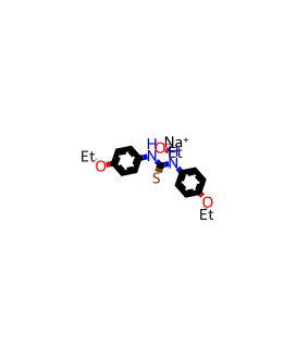 CCOc1ccc(NC(=S)Nc2ccc(OCC)cc2)cc1.CC[O-].[Na+]